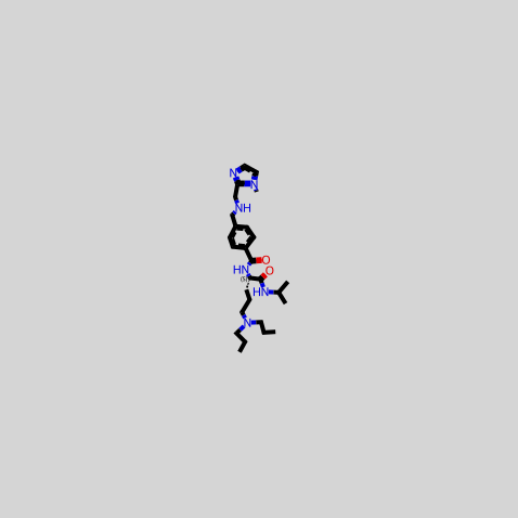 CCCN(CCC)CCC[C@H](NC(=O)c1ccc(CNCc2nccn2C)cc1)C(=O)NC(C)C